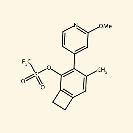 COc1cc(-c2c(C)cc3c(c2OS(=O)(=O)C(F)(F)F)CC3)ccn1